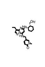 CCc1cnn2c(NCc3ccc(=O)n(C)c3)cc(N[C@H]3CCCC[C@H]3CO)nc12